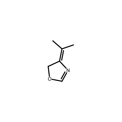 CC(C)=C1COC=N1